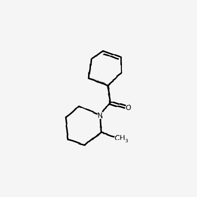 CC1CCCCN1C(=O)C1CC=CCC1